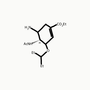 CCOC(=O)C1=CC(OC(CC)CC)[C@H](NC(C)=O)C(N)C1